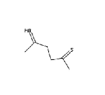 B=C(C)CCC(C)=S